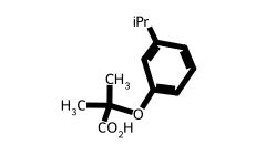 CC(C)c1cccc(OC(C)(C)C(=O)O)c1